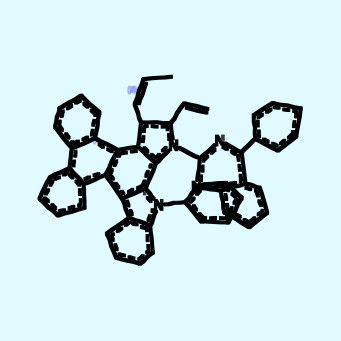 C=Cc1c(/C=C\C)c2c3c4ccccc4c4ccccc4c3c3c4ccccc4n(-c4ccccc4)c3c2n1-c1nc(-c2ccccc2)c2ccccc2n1